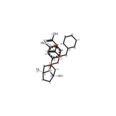 O=C(O)CC(=O)N(CCN1[C@@H]2CC[C@H]1C[C@@H](c1cccc(O)c1)C2)CC1CCCCC1